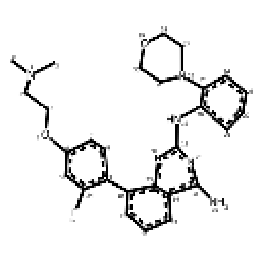 CN(C)CCOc1ccc(-c2cccc3c(N)nc(Nc4ccccc4N4CCOCC4)nc23)c(F)c1